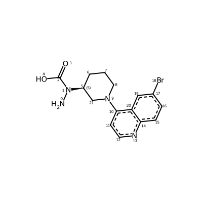 NN(C(=O)O)[C@H]1CCCN(c2ccnc3ccc(Br)cc23)C1